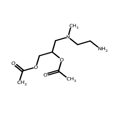 CC(=O)OCC(CN(C)CCN)OC(C)=O